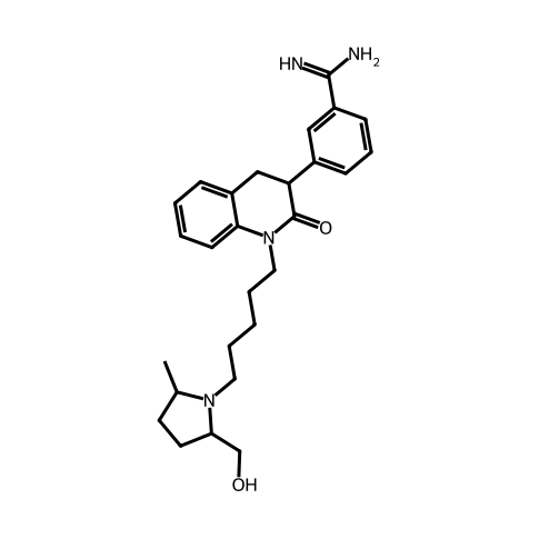 CC1CCC(CO)N1CCCCCN1C(=O)C(c2cccc(C(=N)N)c2)Cc2ccccc21